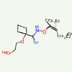 CCOC(=O)/C=C(\ONC(=N)C1(OCCO)CCC1)C(=O)OCC